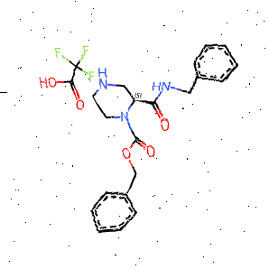 O=C(NCc1ccccc1)[C@@H]1CNCCN1C(=O)OCc1ccccc1.O=C(O)C(F)(F)F